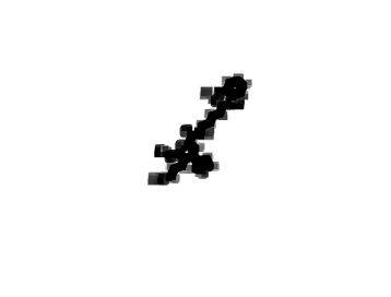 CCOC1OC(C(=O)NCCCCC(=O)Nc2ccccc2N)=CC(c2ccsc2)C1CCCO